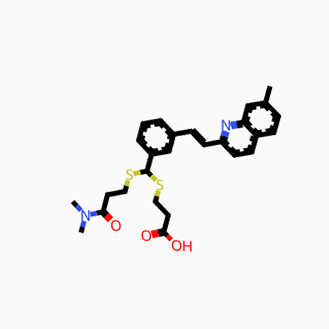 Cc1ccc2ccc(C=Cc3cccc(C(SCCC(=O)O)SCCC(=O)N(C)C)c3)nc2c1